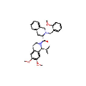 COc1ccccc1CN1Cc2ccccc2C[C@H]1C(=O)N1CCc2cc(OC)c(OC)cc2C1C(C)C